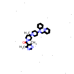 Cc1ncnc(C)c1C(=O)N1CCC(C)(N2CCC(N(Cc3ccccn3)c3ccccc3)CC2)CC1